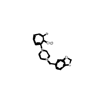 O=CC1C(Br)=CC=CC=C1N1CCN(Cc2ccc3c(c2)OCO3)CC1